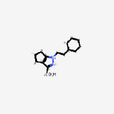 O=C(O)c1nn(CCC2CCCCC2)c2c1CCC2